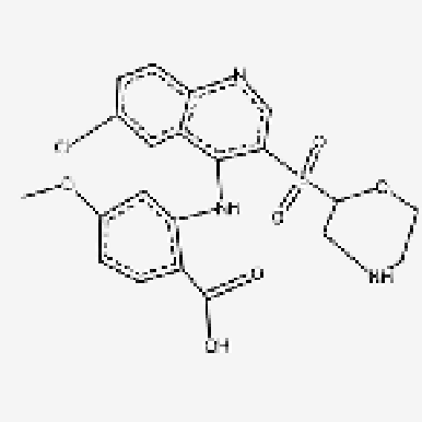 COc1ccc(C(=O)O)c(Nc2c(S(=O)(=O)C3CNCCO3)cnc3ccc(Cl)cc23)c1